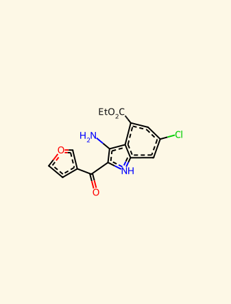 CCOC(=O)c1cc(Cl)cc2[nH]c(C(=O)c3ccoc3)c(N)c12